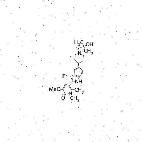 COc1cc(-c2[nH]c3ccc(C4CCN(CC(C)(C)O)CC4)cc3c2C(C)C)c(C)n(C)c1=O